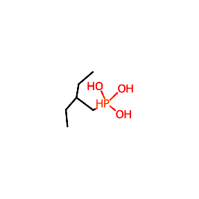 CCC(CC)C[PH](O)(O)O